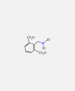 CCN(CC)Cc1c(C(=O)O)cccc1C(=O)O